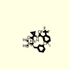 Cc1cccc(C[C@H](NC(=O)C2(NC(=O)c3ccccc3C(F)(F)F)CC2)B(O)O)c1